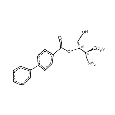 N[C@H](C(=O)O)[C@@H](CO)OC(=O)c1ccc(-c2ccccc2)cc1